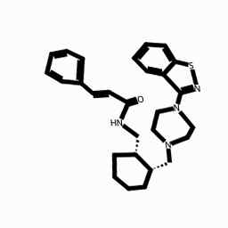 O=C(/C=C/c1ccccc1)NC[C@H]1CCCC[C@H]1CN1CCN(c2nsc3ccccc23)CC1